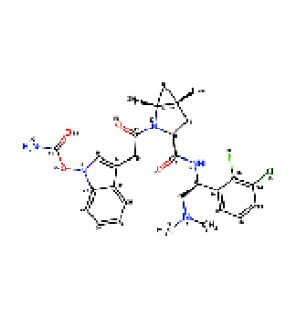 CN(C)C[C@@H](NC(=O)[C@@H]1C[C@H]2C[C@H]2N1C(=O)Cc1cn(OC(N)=O)c2ccccc12)c1cccc(Cl)c1F